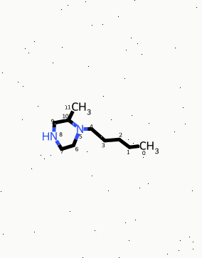 CCCCCN1CCNCC1C